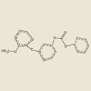 O=C(O)Oc1ccccc1Cc1cccc(OC(=O)Oc2ccccc2)c1